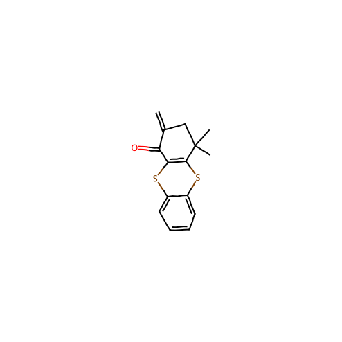 C=C1CC(C)(C)C2=C(Sc3ccccc3S2)C1=O